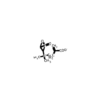 C=C(C)C(=O)[O-].C[N+](C)(C)C1C2OP21=O